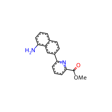 COC(=O)c1cccc(-c2ccc3cccc(N)c3c2)n1